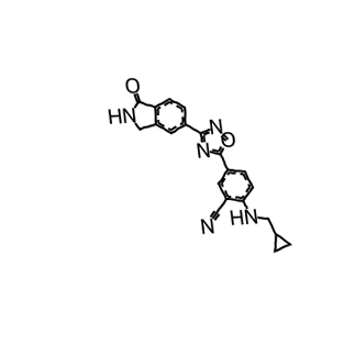 N#Cc1cc(-c2nc(-c3ccc4c(c3)CNC4=O)no2)ccc1NCC1CC1